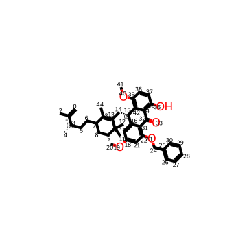 C=C(C)[C@@H](C)CCC1CCC(C)(C)C(C[C@H]2c3cc(OC)cc(OCc4ccccc4)c3C(=O)c3c(O)ccc(OC)c32)=C1C